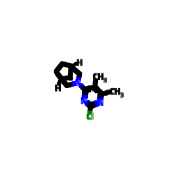 Cc1nc(Cl)nc(N2C[C@@H]3CC[C@@H](C3)C2)c1C